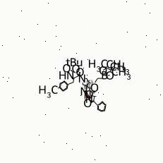 Cc1ccc(CC(NC(=O)OC(C)(C)C)C(=O)N2C[C@H](CCCB3OC(C)(C)C(C)(C)O3)[C@](N=[N+]=[N-])(C(=O)OCC(=O)c3ccccc3)C2)cc1